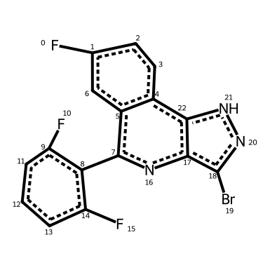 Fc1ccc2c(c1)c(-c1c(F)cccc1F)nc1c(Br)n[nH]c12